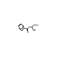 CCCCCCCCC(CCC)OC(=O)C1CC2C=CC1C2